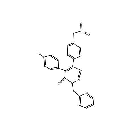 O=c1c(-c2ccc(F)cc2)c(-c2ccc(C[SH](=O)=O)cc2)cnn1Cc1ccccn1